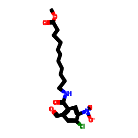 COC(=O)CCCCCCCCCCNC(=O)c1cc([N+](=O)[O-])c(Cl)cc1C=O